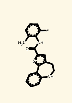 Cc1cccc(F)c1NC(=O)c1cc2c(s1)-c1ccccc1NCC2